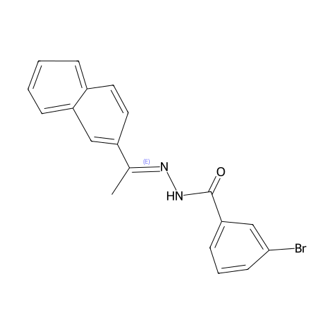 C/C(=N\NC(=O)c1cccc(Br)c1)c1ccc2ccccc2c1